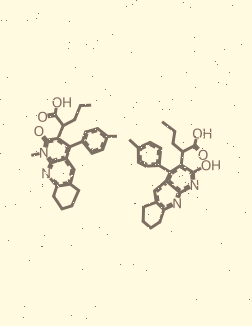 CCCC(C(=O)O)c1c(-c2ccc(C)cc2)c2cc3c(nc2n(C)c1=O)CCCC3.CCCC(C(=O)O)c1c(O)nc2nc3c(cc2c1-c1ccc(C)cc1)CCCC3